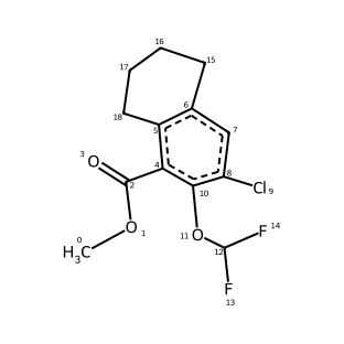 COC(=O)c1c2c(cc(Cl)c1OC(F)F)CCCC2